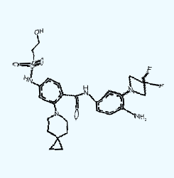 Nc1ccc(NC(=O)c2ccc(NS(=O)(=O)CCO)cc2N2CCC3(CC2)CC3)cc1N1CC(F)(F)C1